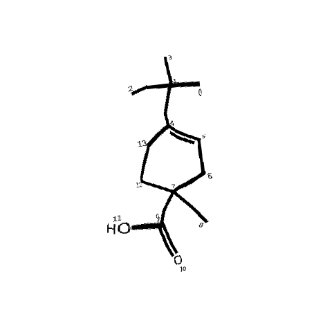 CC(C)(C)C1=CCC(C)(C(=O)O)CC1